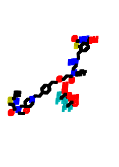 CCCN(CCNCCc1ccc(O)c2[nH]c(=O)sc12)C(=O)CCOCCc1ccc(CCN2CCC3(CC2)CN(C(=O)c2csc(CC)n2)CCO3)cc1.O=C(O)C(F)(F)F.O=C(O)C(F)(F)F